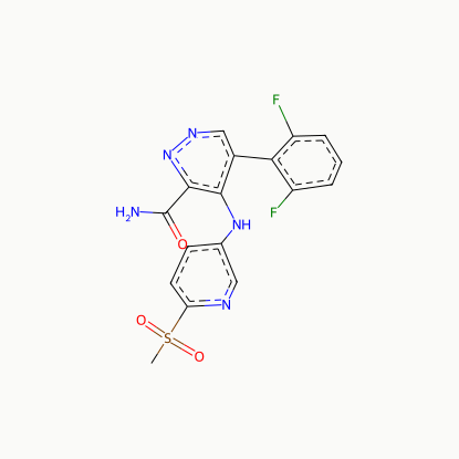 CS(=O)(=O)c1ccc(Nc2c(-c3c(F)cccc3F)cnnc2C(N)=O)cn1